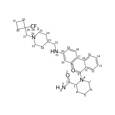 NC(=O)C1CCCCN1C(=O)c1ccccc1-c1ccc(NCC2CCN(CC3(C(F)(F)F)CCC3)CC2)cc1